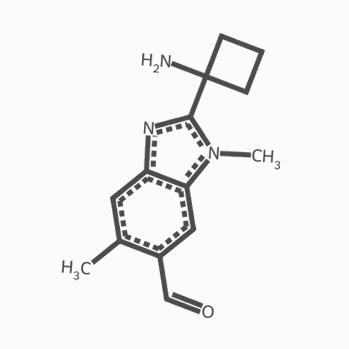 Cc1cc2nc(C3(N)CCC3)n(C)c2cc1C=O